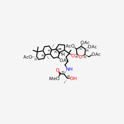 COC(=O)[C@H](NCCCC(C)(O[C@H]1O[C@H](COC(C)=O)[C@@H](OC(C)=O)[C@H](OC(C)=O)C1OC(C)=O)C1CC[C@]2(C)[C@@H]1C(OC(C)=O)CC1[C@@]3(C)CC[C@H](OC(C)=O)C(C)(C)C3CC[C@]12C)[C@@H](C)O